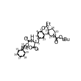 CCC(Oc1ccc(CC(NC(=O)OCc2ccccc2)C(=O)OC)cc1)C1CCN(C(=O)OC(C)(C)C)CC1